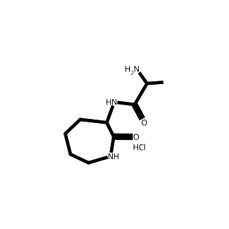 CC(N)C(=O)NC1CCCCNC1=O.Cl